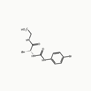 CC[C@@H](C)[C@@H](NC(=O)Nc1ccc(Br)cc1)C(=O)NCC(=O)O